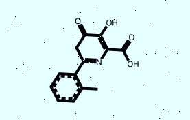 Cc1ccccc1C1=NC(C(=O)O)=C(O)C(=O)C1